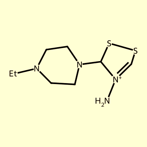 CCN1CCN(C2SSC=[N+]2N)CC1